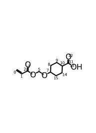 C=CC(=O)OCOC1CCC(C(=O)O)CC1